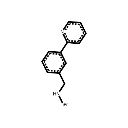 CC(C)NCc1cccc(-c2ccccn2)c1